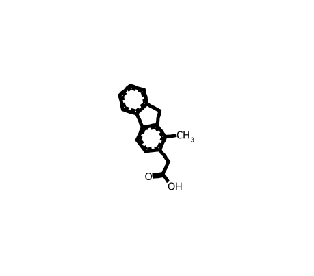 Cc1c(CC(=O)O)ccc2c1Cc1ccccc1-2